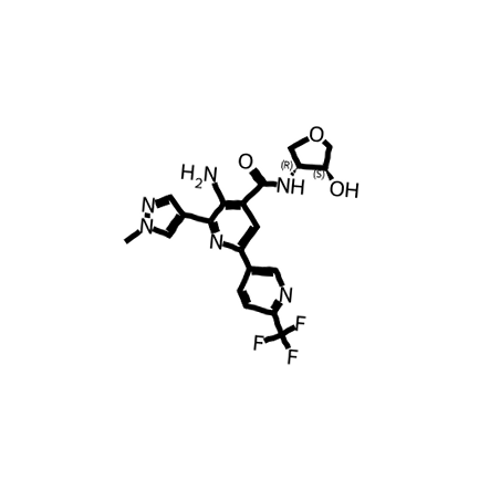 Cn1cc(-c2nc(-c3ccc(C(F)(F)F)nc3)cc(C(=O)N[C@@H]3COC[C@H]3O)c2N)cn1